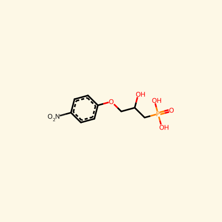 O=[N+]([O-])c1ccc(OCC(O)CP(=O)(O)O)cc1